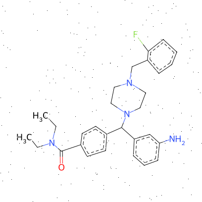 CCN(CC)C(=O)c1ccc(C(c2cccc(N)c2)N2CCN(Cc3ccccc3F)CC2)cc1